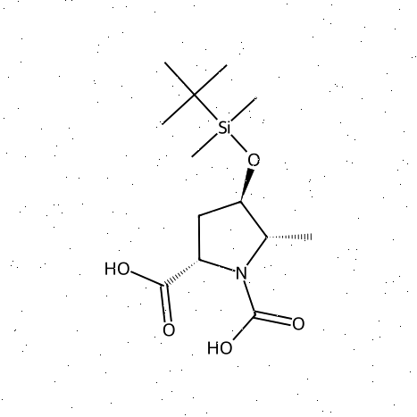 C[C@H]1[C@H](O[Si](C)(C)C(C)(C)C)C[C@@H](C(=O)O)N1C(=O)O